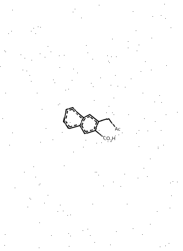 CC(=O)Cc1cc2ccccc2cc1C(=O)O